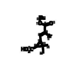 CCC(C)OC(=O)C(Br)=CC1C(C(=O)O)C1(C)C